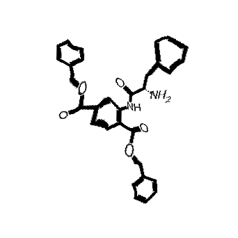 N[C@@H](Cc1ccccc1)C(=O)Nc1cc(C(=O)OCc2ccccc2)ccc1C(=O)OCc1ccccc1